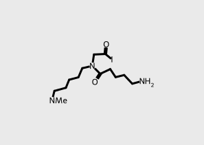 CNCCCCCN(CC(=O)I)C(=O)CCCCN